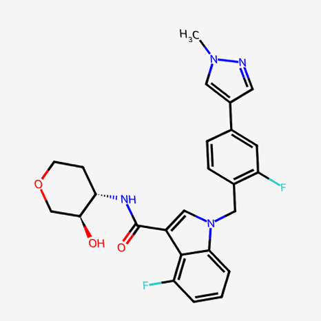 Cn1cc(-c2ccc(Cn3cc(C(=O)N[C@H]4CCOC[C@@H]4O)c4c(F)cccc43)c(F)c2)cn1